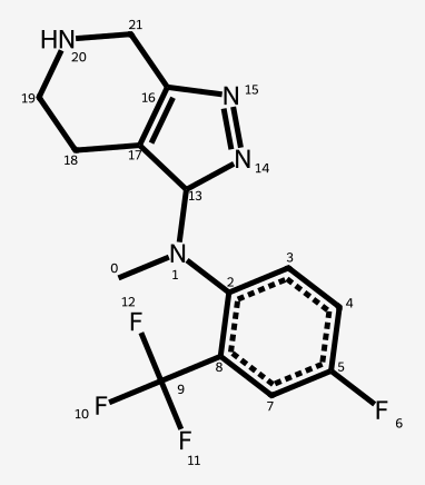 CN(c1ccc(F)cc1C(F)(F)F)C1N=NC2=C1CCNC2